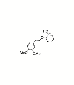 COc1ccc(CCOC2CCCC[C@@H]2O)cc1OC